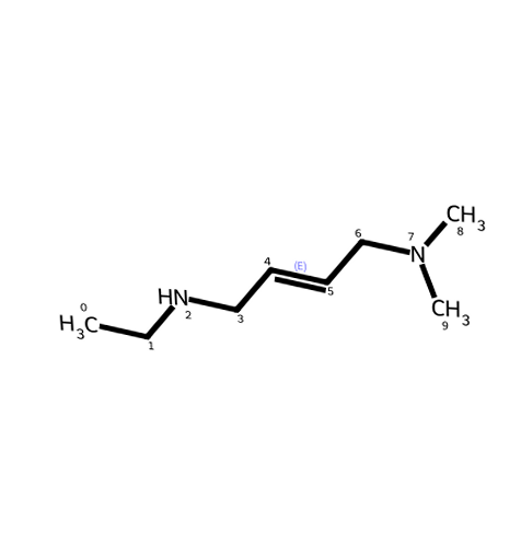 CCNC/C=C/CN(C)C